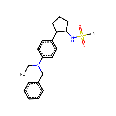 CCCS(=O)(=O)NC1CCCC1c1ccc(N(CC#N)Cc2ccccc2)cc1